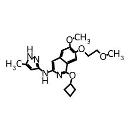 COCCOc1cc2c(OC3CCC3)nc(Nc3cc(C)[nH]n3)cc2cc1OC